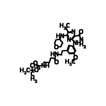 CCc1nc(C(N)=O)c(Nc2cc(CCNC(=O)CCCNC(=O)OC(C)(C)C)cc(OC)c2)nc1NC1CCOCC1